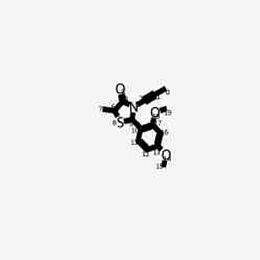 CC#CN1C(=O)C(C)SC1c1ccc(OC)cc1OC